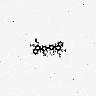 [H]/N=N/C1=C(O)c2ccccc2C(c2ccc(-c3ccc(C4(S(=O)(=O)O)CC(/N=N/[H])=C(O)c5ccccc54)c(OC(F)(F)F)c3)cc2OC(F)(F)F)(S(=O)(=O)O)C1